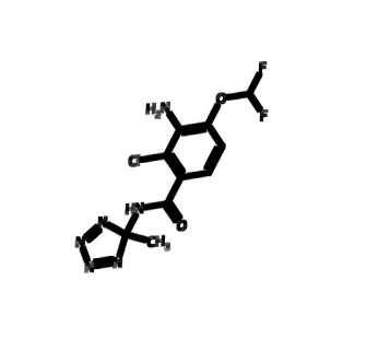 CC1(NC(=O)c2ccc(OC(F)F)c(N)c2Cl)N=NN=N1